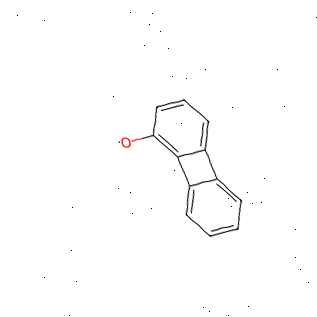 [O]c1cccc2c1-c1ccccc1-2